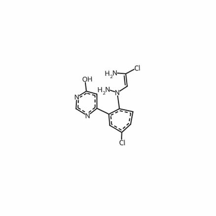 N/C(Cl)=C\N(N)c1ccc(Cl)cc1-c1cc(O)ncn1